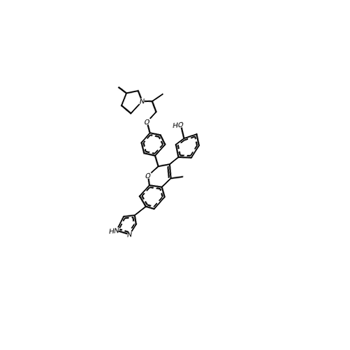 CC1=C(c2cccc(O)c2)C(c2ccc(OCC(C)N3CCC(C)C3)cc2)Oc2cc(-c3cn[nH]c3)ccc21